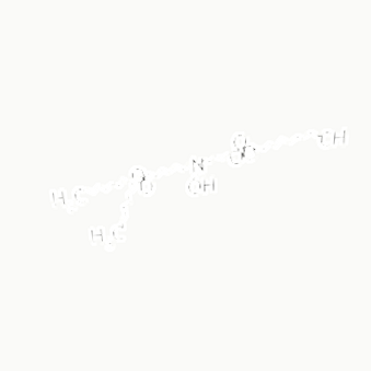 C#CCCCCCCCCCOC(=O)OCCCCCN(CCO)CCCCCCCC(=O)OC(CCCCCCCC)CCCCCCCC